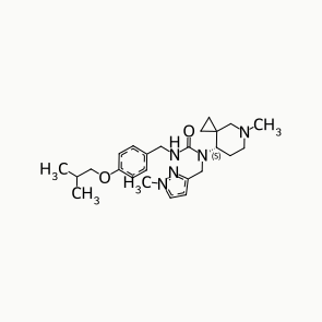 CC(C)COc1ccc(CNC(=O)N(Cc2ccn(C)n2)[C@H]2CCN(C)CC23CC3)cc1